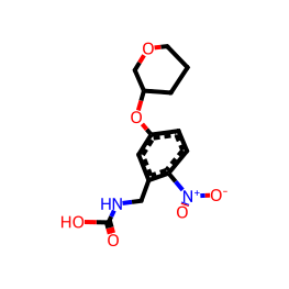 O=C(O)NCc1cc(OC2CCCOC2)ccc1[N+](=O)[O-]